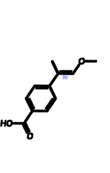 CO/C=C(\C)c1ccc(C(=O)O)cc1